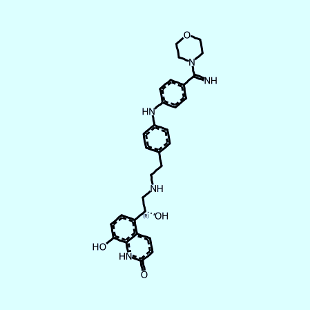 N=C(c1ccc(Nc2ccc(CCNC[C@H](O)c3ccc(O)c4[nH]c(=O)ccc34)cc2)cc1)N1CCOCC1